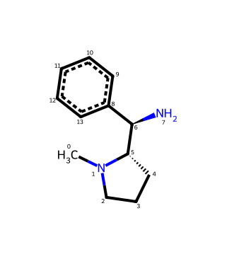 CN1CCC[C@H]1[C@H](N)c1ccccc1